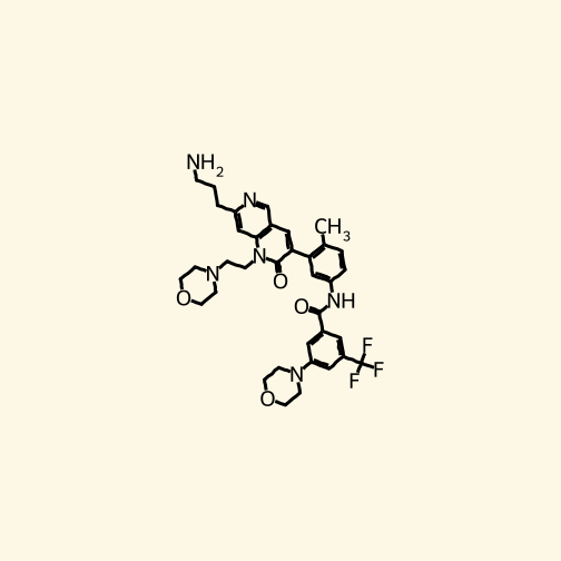 Cc1ccc(NC(=O)c2cc(N3CCOCC3)cc(C(F)(F)F)c2)cc1-c1cc2cnc(CCCN)cc2n(CCN2CCOCC2)c1=O